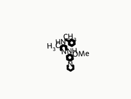 COc1cc(N2CCCCC2)ccc1Nc1cc(N[C@@H](C)c2ccccc2)c(C)cn1